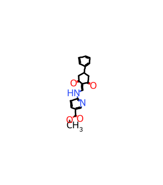 COC(=O)c1ccc(NC=C2C(=O)CC(c3ccccc3)CC2=O)nc1